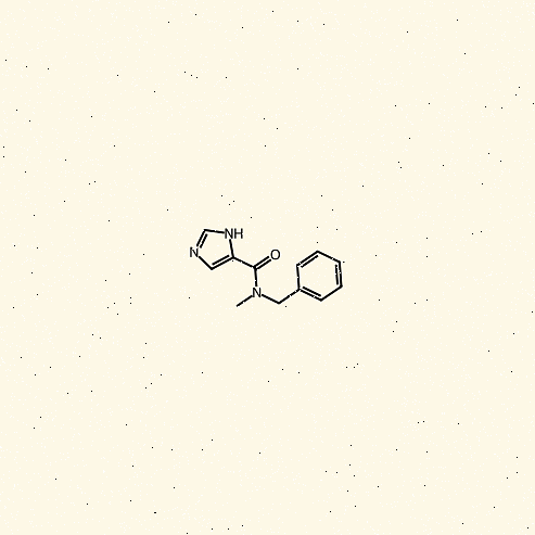 CN(Cc1cc[c]cc1)C(=O)c1cnc[nH]1